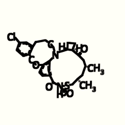 C[C@H]1CC(=O)[C@@H]2CC[C@H]2CN2CCCCc3cc(Cl)ccc3COc3ccc(cc32)C(=O)NS(=O)(=O)C[C@@H](C)C1